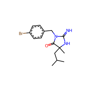 CC(C)CC1(C)NC(=N)N(Cc2ccc(Br)cc2)C1=O